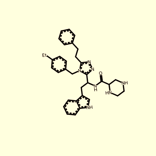 CCc1ccc(Cn2c(CCc3ccccc3)nnc2C(Cc2c[nH]c3ccccc23)NC(=O)C2CNCCN2)cc1